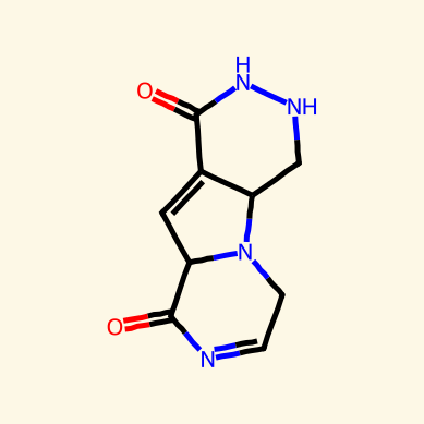 O=C1NNCC2C1=CC1C(=O)N=CCN12